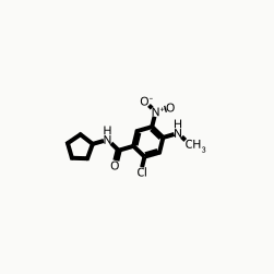 CNc1cc(Cl)c(C(=O)NC2CCCC2)cc1[N+](=O)[O-]